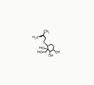 C=C(C)CSC1CCC(O)C(O)C1(O)CO